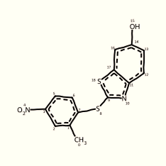 Cc1cc([N+](=O)[O-])ccc1Sc1nc2ccc(O)cc2s1